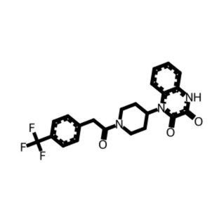 O=C(Cc1ccc(C(F)(F)F)cc1)N1CCC(n2c(=O)c(=O)[nH]c3ccccc32)CC1